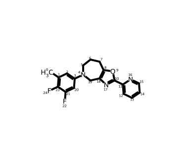 Cc1cc(N2CCCc3oc(-c4ccccn4)nc3C2)cc(F)c1F